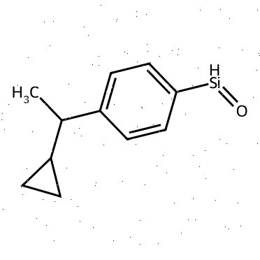 CC(c1ccc([SiH]=O)cc1)C1CC1